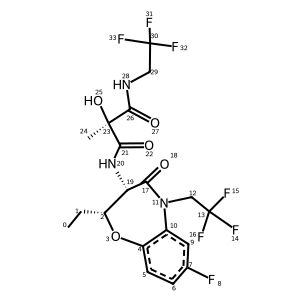 CC[C@H]1Oc2ccc(F)cc2N(CC(F)(F)F)C(=O)[C@H]1NC(=O)[C@@](C)(O)C(=O)NCC(F)(F)F